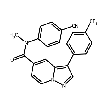 CN(C(=O)c1ccn2ncc(-c3ccc(C(F)(F)F)cc3)c2c1)c1ccc(C#N)cc1